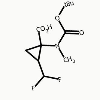 CN(C(=O)OC(C)(C)C)C1(C(=O)O)CC1C(F)F